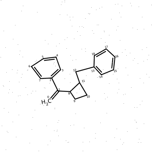 C=C(c1ccccc1)C1CCC1Cc1ccccc1